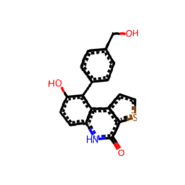 O=c1[nH]c2ccc(O)c(-c3ccc(CO)cc3)c2c2ccsc12